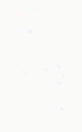 CC(C)(C)C(=O)NCC1CCN(c2ccc(C(F)(F)F)c(S(N)(=O)=O)c2-c2nnn[nH]2)CC1